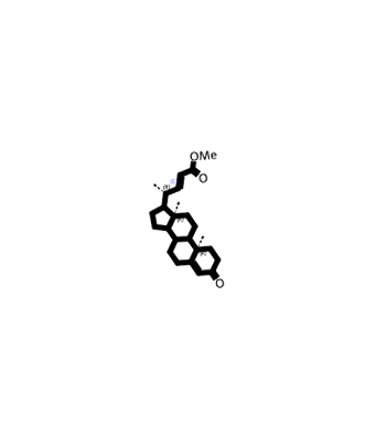 COC(=O)/C=C/[C@@H](C)C1CCC2C3CCC4=CC(=O)CC[C@]4(C)C3CC[C@@]21C